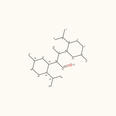 CC1CCC(C(C)C)C(C(C)C(C=O)C2CC(C)CCC2C(C)C)C1